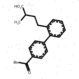 CCC(C)C(=O)c1ccc(-c2ccccc2CCC(C)C(=O)O)cc1